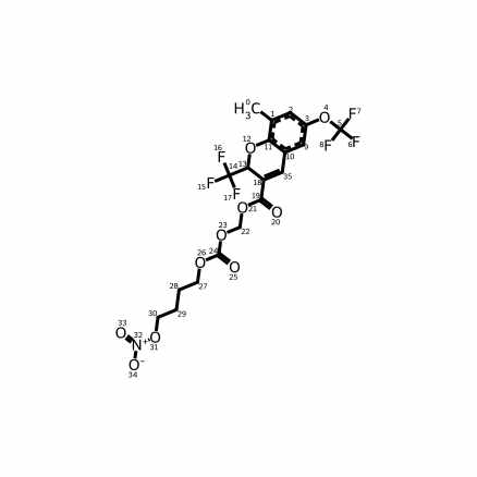 Cc1cc(OC(F)(F)F)cc2c1OC(C(F)(F)F)C(C(=O)OCOC(=O)OCCCCO[N+](=O)[O-])=C2